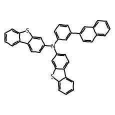 c1cc(-c2ccc3ccccc3c2)cc(N(c2ccc3c(c2)sc2ccccc23)c2ccc3c(c2)sc2ccccc23)c1